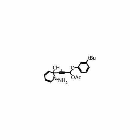 CC(=O)OC(C#CC1(C)C=CC=CN1N)Oc1cccc(C(C)(C)C)c1